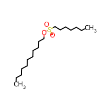 CCCCCCCCCCCOS(=O)(=O)CCCCCCC